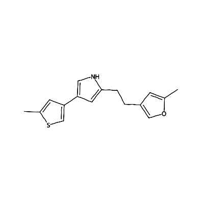 Cc1cc(CCc2cc(-c3csc(C)c3)c[nH]2)co1